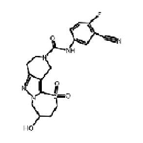 N#Cc1cc(NC(=O)N2CCc3nn4c(c3C2)S(=O)(=O)CCC(O)C4)ccc1F